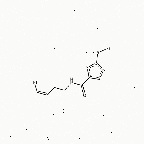 CC/C=C\CCNC(=O)c1cnc(SCC)s1